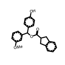 COc1cccc(C(OC(=O)C2Cc3ccccc3C2)c2ccc(O)cc2)c1